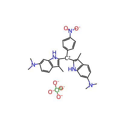 Cc1c([C+](c2ccc([N+](=O)[O-])cc2)c2[nH]c3cc(N(C)C)ccc3c2C)[nH]c2cc(N(C)C)ccc12.[O-][Cl+3]([O-])([O-])[O-]